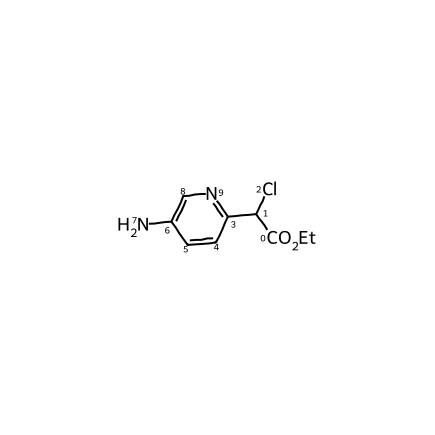 CCOC(=O)C(Cl)c1ccc(N)cn1